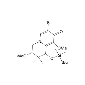 COc1c2n(cc(Br)c1=O)CC(OC)C(C)(C)C2O[Si](C)(C)C(C)(C)C